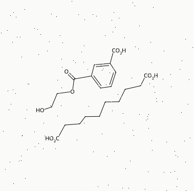 O=C(O)CCCCCCCCC(=O)O.O=C(O)c1cccc(C(=O)OCCO)c1